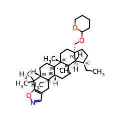 CC[C@@H]1CC[C@]2(COC3CCCCO3)CC[C@]3(C)[C@H](CC[C@@H]4[C@@]5(C)Cc6cnoc6C(C)(C)[C@@H]5CC[C@]43C)[C@@H]12